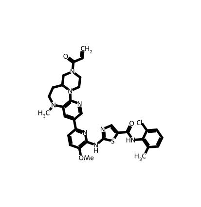 C=CC(=O)N1CCN2c3ncc(-c4ccc(OC)c(Nc5ncc(C(=O)Nc6c(C)cccc6Cl)s5)n4)cc3N(C)CCC2C1